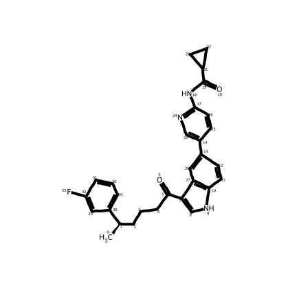 C[C@H](CCCC(=O)c1c[nH]c2ccc(-c3ccc(NC(=O)C4CC4)nc3)cc12)c1cccc(F)c1